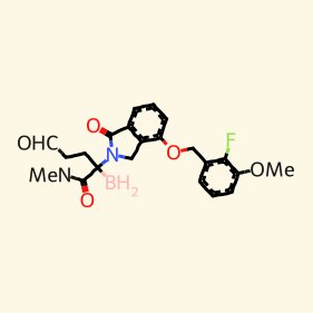 BC(CCC=O)(C(=O)NC)N1Cc2c(OCc3cccc(OC)c3F)cccc2C1=O